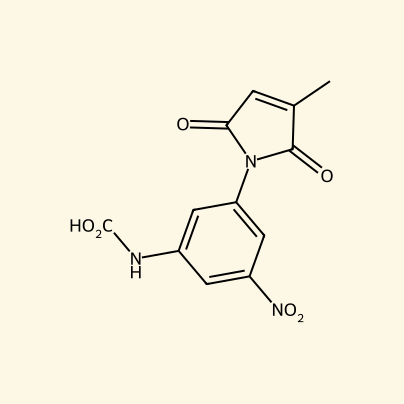 CC1=CC(=O)N(c2cc(NC(=O)O)cc([N+](=O)[O-])c2)C1=O